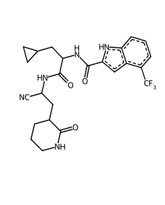 N#CC(CC1CCCNC1=O)NC(=O)C(CC1CC1)NC(=O)c1cc2c(C(F)(F)F)cccc2[nH]1